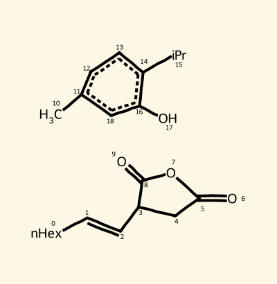 CCCCCCC=CC1CC(=O)OC1=O.Cc1ccc(C(C)C)c(O)c1